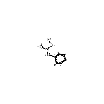 OP(OF)Oc1ccccc1